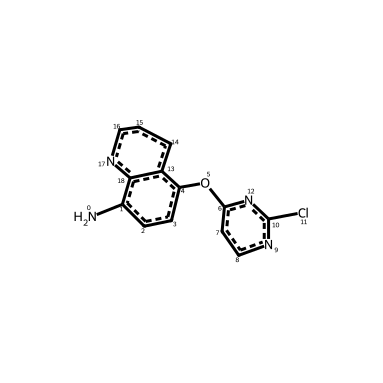 Nc1ccc(Oc2ccnc(Cl)n2)c2cccnc12